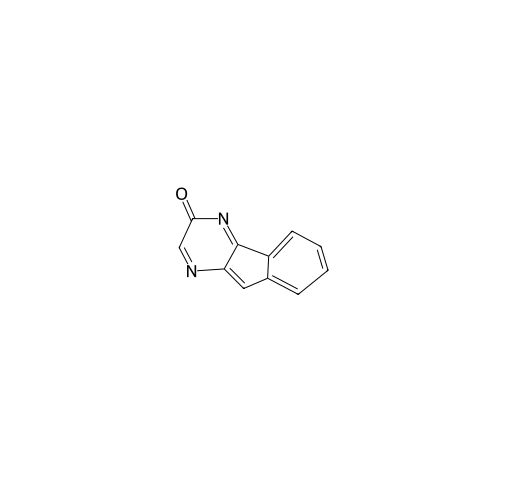 O=C1C=NC2=Cc3ccccc3C2=N1